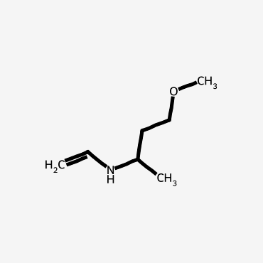 C=CNC(C)CCOC